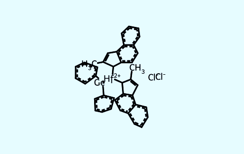 CC1=Cc2c(ccc3ccccc23)[CH]1[Hf+2]([CH]1C(C)=Cc2c1ccc1ccccc21)=[Ge]([c]1ccccc1)[c]1ccccc1.[Cl-].[Cl-]